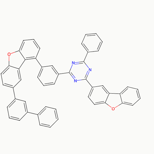 c1ccc(-c2cccc(-c3ccc4oc5cccc(-c6cccc(-c7nc(-c8ccccc8)nc(-c8ccc9oc%10ccccc%10c9c8)n7)c6)c5c4c3)c2)cc1